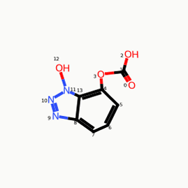 O=C(O)Oc1cccc2nnn(O)c12